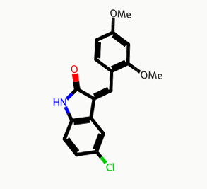 COc1ccc(C=C2C(=O)Nc3ccc(Cl)cc32)c(OC)c1